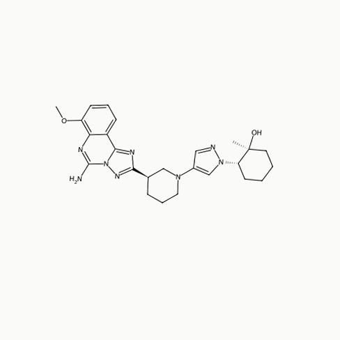 COc1cccc2c1nc(N)n1nc([C@@H]3CCCN(c4cnn([C@H]5CCCC[C@]5(C)O)c4)C3)nc21